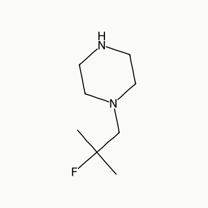 CC(C)(F)CN1CCNCC1